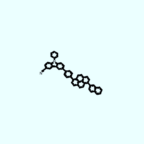 N#Cc1ccc2c(c1)c1cc(-c3ccc(-c4ccc5ccc6c(-c7ccc8ccccc8c7)ccc7ccc4c5c76)cc3)ccc1n2-c1ccccc1